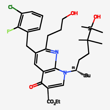 CCOC(=O)c1cn([C@H](CCC(C)(C)[Si](C)(C)O)C(C)(C)C)c2nc(CCCO)c(Cc3cccc(Cl)c3F)cc2c1=O